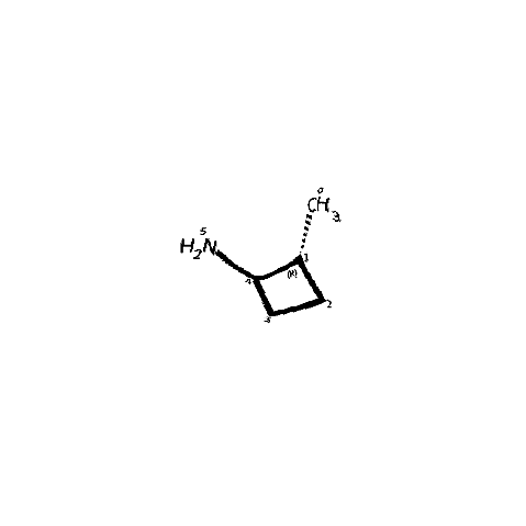 C[C@@H]1CCC1N